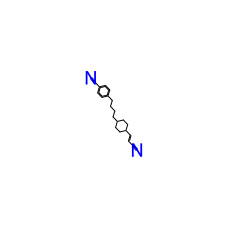 N#CC=CC1CCC(CCCCc2ccc(C#N)cc2)CC1